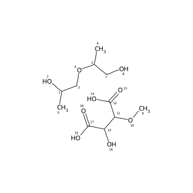 CC(O)COC(C)CO.COC(C(=O)O)C(O)C(=O)O